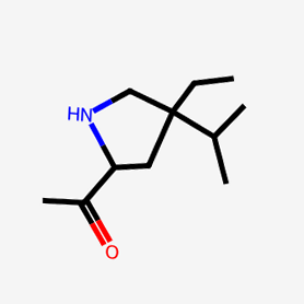 CCC1(C(C)C)CNC(C(C)=O)C1